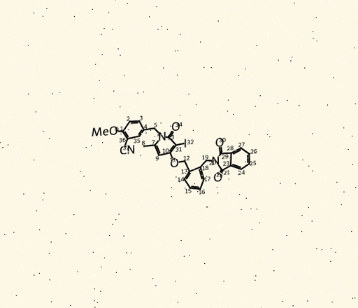 COc1ccc(Cn2c(C)cc(OCc3ccccc3CN3C(=O)c4ccccc4C3=O)c(I)c2=O)cc1C#N